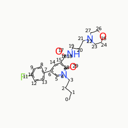 CCCCn1cc(-c2ccc(F)cc2)cc(C(=O)NCCCN2CCOCC2)c1=O